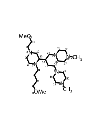 COCCCCN1CCN(CCOC)CC1C(CCN1CCN(C)CC1)CN1CCN(C)CC1